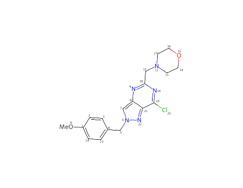 COc1ccc(Cn2cc3nc(CN4CCOCC4)nc(Cl)c3n2)cc1